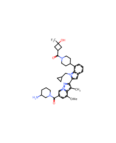 COc1cc(C(=O)N2CCCC(N)C2)cn2nc(-c3cc4cccc(C5CCN(C(=O)C6CC(O)(C(F)(F)F)C6)CC5)c4n3CC3CC3)c(C)c12